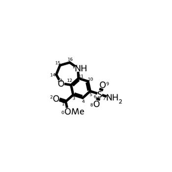 COC(=O)c1cc(S(N)(=O)=O)cc2c1OCCCN2